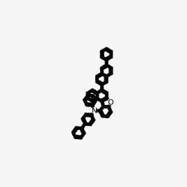 C1=CC2Oc3cc(-c4ccc5cc(-c6ccccc6)ccc5c4)c4ccccc4c3C2C(N(c2ccccc2)c2ccc(-c3ccccc3)cc2)=C1